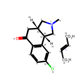 CN1C[C@H]2CC(=O)c3ccc(Cl)cc3[C@H]2C1.O=C(O)/C=C/C(=O)O